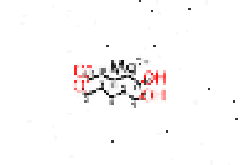 [Mg+2].[O-]CCCCCO.[O-]CCCCCO